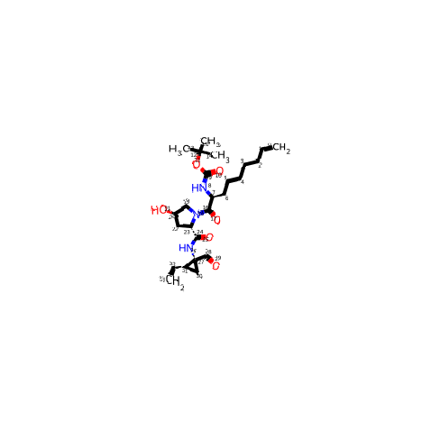 C=CCCCCC[C@H](NC(=O)OC(C)(C)C)C(=O)N1C[C@H](O)C[C@H]1C(=O)N[C@]1(C=O)C[C@H]1C=C